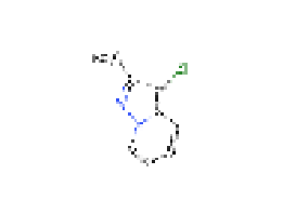 O=C(O)c1nn2ccccc2c1Cl